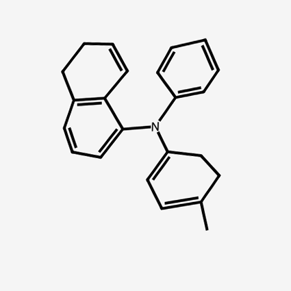 CC1=CC=C(N(c2ccccc2)c2cccc3c2C=CCC3)CC1